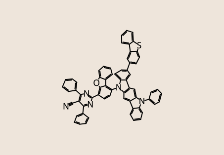 N#Cc1c(-c2ccccc2)nc(-c2ccc(-n3c4ccc(-c5ccc6sc7ccccc7c6c5)cc4c4cc5c(cc43)c3ccccc3n5-c3ccccc3)c3c2oc2ccccc23)nc1-c1ccccc1